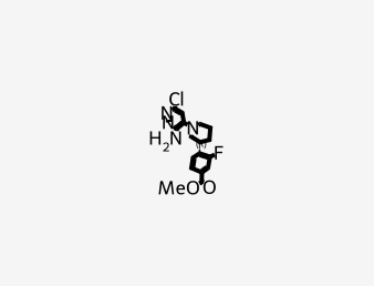 COC(=O)c1ccc([C@H]2CCCN(c3cc(Cl)nnc3N)C2)c(F)c1